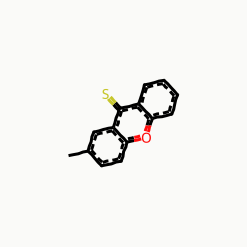 Cc1ccc2oc3ccccc3c(=S)c2c1